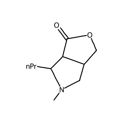 CCCC1C2C(=O)OCC2CN1C